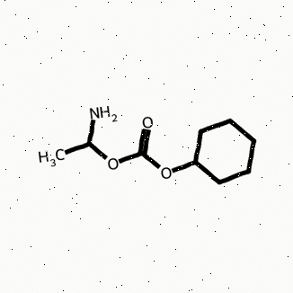 CC(N)OC(=O)OC1CCCCC1